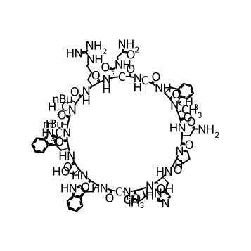 CCCC[C@H]1C(=O)N(C)[C@@H](CCCC)C(=O)N[C@@H](CCCNC(=N)N)C(=O)N[C@H](C(=O)NCC(N)=O)CC(=O)NCC(=O)N[C@@H](Cc2ccccc2)C(=O)N(C)[C@@H](C)C(=O)N[C@@H](CC(N)=O)C(=O)N2CCC[C@H]2C(=O)N[C@@H](Cc2cnc[nH]2)C(O)N[C@@H](CC(C)C)C(=O)N(C)CC(=O)N[C@@H](Cc2c[nH]c3ccccc23)C(=O)N[C@@H](CO)C(=O)N[C@@H](Cc2c[nH]c3ccccc23)C(=O)N1C